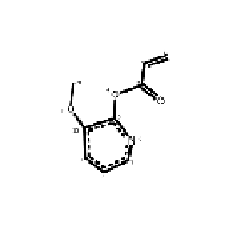 C=CC(=O)Oc1ncccc1OC